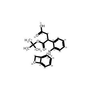 CC(C)(C)OC(=O)C(CC(=O)O)c1ccccc1N.c1ccc2c(c1)CO2